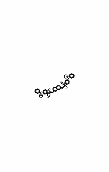 CCN1/C(=C/C2=CC3=C/C(=C/c4sc5ccc([S+]([O-])c6ccccc6)cc5[n+]4CC)CCC3CC2)Sc2ccc([S+]([O-])c3ccccc3)cc21